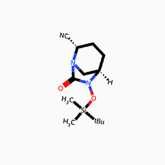 CC(C)(C)[Si](C)(C)ON1C(=O)N2C[C@H]1CC[C@H]2C#N